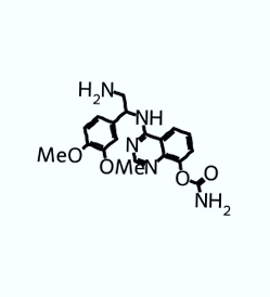 COc1ccc(C(CN)Nc2ncnc3c(OC(N)=O)cccc23)cc1OC